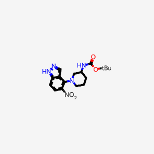 CC(C)(C)OC(=O)NC1CCCN(c2c([N+](=O)[O-])ccc3[nH]ncc23)C1